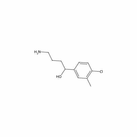 Cc1cc(C(O)CCCN)ccc1Cl